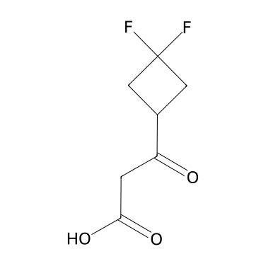 O=C(O)CC(=O)C1CC(F)(F)C1